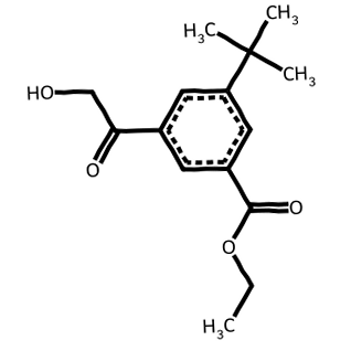 CCOC(=O)c1cc(C(=O)CO)cc(C(C)(C)C)c1